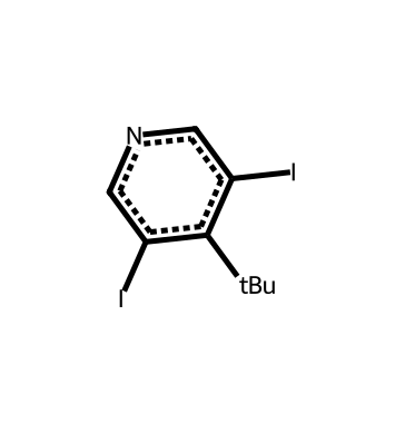 CC(C)(C)c1c(I)cncc1I